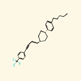 CCCCCc1ccc([C@H]2CC[C@H](/C=C/C#Cc3ccc(C(F)(F)F)cc3)CC2)cc1